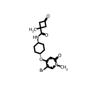 Cn1cc(Br)c(O[C@H]2CC[C@H](NC(=O)C3(C)CC(=O)C3)CC2)cc1=O